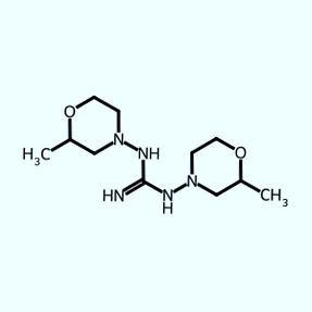 CC1CN(NC(=N)NN2CCOC(C)C2)CCO1